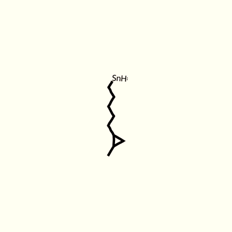 CC1CC1CCCC[CH2][SnH]